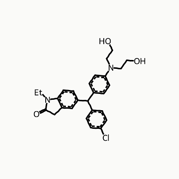 CCN1C(=O)Cc2cc(C(c3ccc(Cl)cc3)c3ccc(N(CCO)CCO)cc3)ccc21